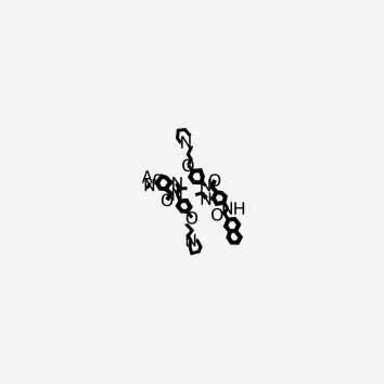 CC(=O)N(C)c1ccc2nc(C)n(-c3ccc(OCCCN4CCCCC4)cc3)c(=O)c2c1.Cc1nc2cc(NC(=O)c3ccc4ccccc4c3)ccc2c(=O)n1-c1ccc(OCCCN2CCCCC2)cc1